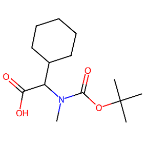 CN(C(=O)OC(C)(C)C)C(C(=O)O)C1CCCCC1